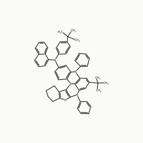 CC(C)(C)c1ccc(N(c2ccc3c(c2)N(c2ccccc2)c2cc(C(C)(C)C)cc4c2B3c2c(oc3c2CCCC3)N4c2ccccc2)c2cccc3ccccc23)cc1